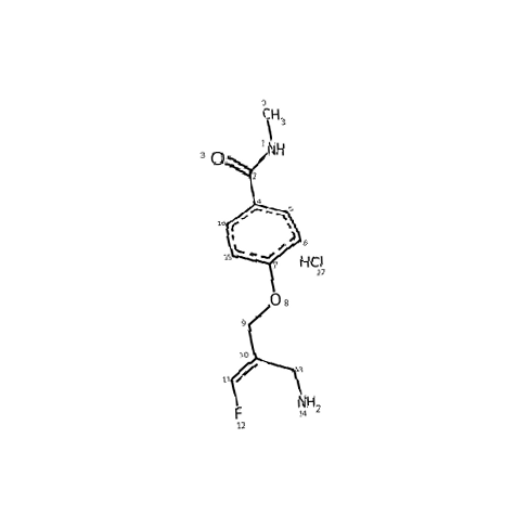 CNC(=O)c1ccc(OC/C(=C/F)CN)cc1.Cl